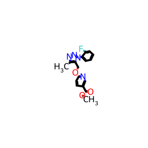 COC(=O)c1ccc(OCc2c(C)nnn2-c2ccccc2F)nc1